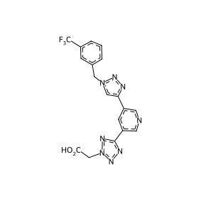 O=C(O)Cn1nnc(-c2cncc(-c3cn(Cc4cccc(C(F)(F)F)c4)nn3)c2)n1